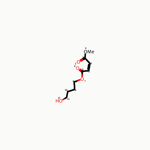 COC(=O)/C=C\C(=O)OCCCCO